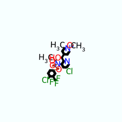 COCN(c1cc(Cl)cnc1C(O)c1cc[n+](OC)c(C)c1)S(=O)(=O)c1ccc(Cl)c(C(F)(F)F)c1